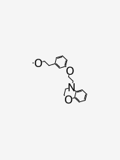 [O]CCc1cccc(OCCN2CCOc3ccccc32)c1